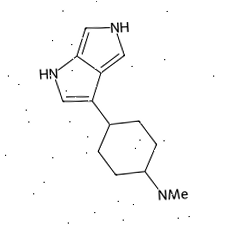 CNC1CCC(c2c[nH]c3c[nH]cc23)CC1